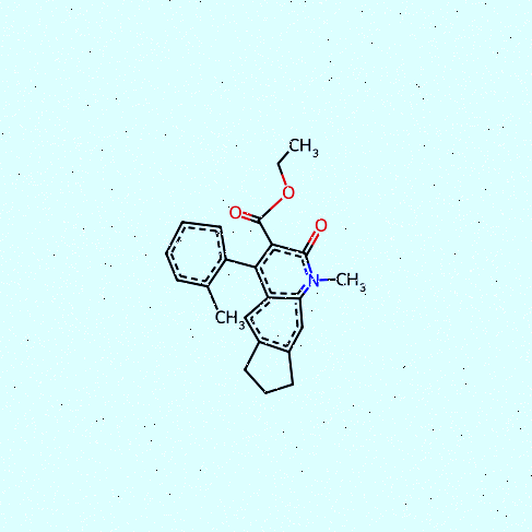 CCOC(=O)c1c(-c2ccccc2C)c2cc3c(cc2n(C)c1=O)CCC3